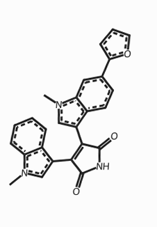 Cn1cc(C2=C(c3cn(C)c4cc(-c5ccco5)ccc34)C(=O)NC2=O)c2ccccc21